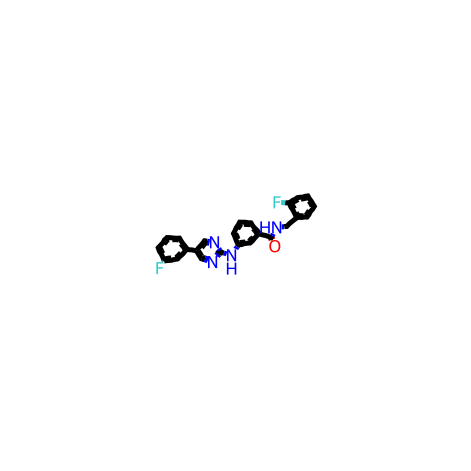 O=C(NCc1ccccc1F)c1cccc(Nc2ncc(-c3cccc(F)c3)cn2)c1